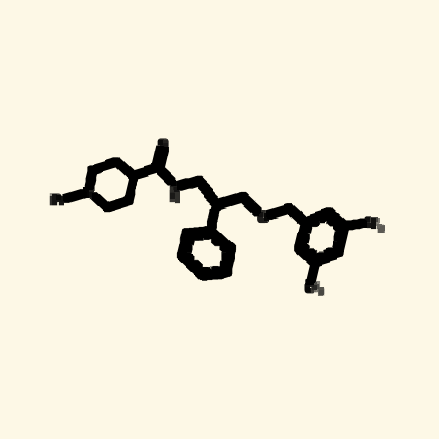 CC(C)N1CCC(C(=O)NCC(COCc2cc(C(F)(F)F)cc(C(F)(F)F)c2)c2ccccc2)CC1